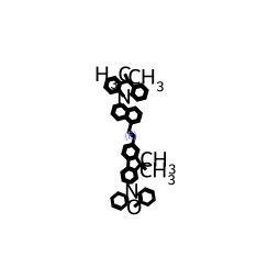 CC1(C)c2cc(/C=C/c3cccc4c(N5c6ccccc6C(C)(C)c6ccccc65)cccc34)ccc2-c2ccc(N3C4=C(CCC=C4)OC4=C3CCC=C4)cc21